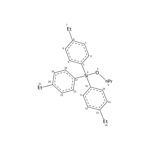 CCCO[Si](c1ccc(CC)cc1)(c1ccc(CC)cc1)c1ccc(CC)cc1